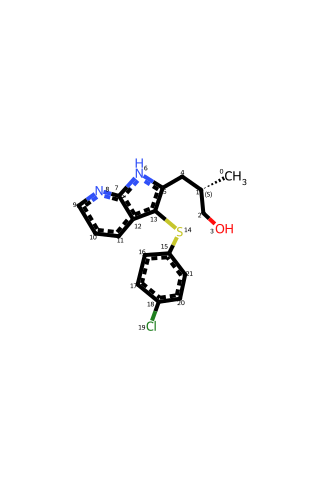 C[C@H](CO)Cc1[nH]c2ncccc2c1Sc1ccc(Cl)cc1